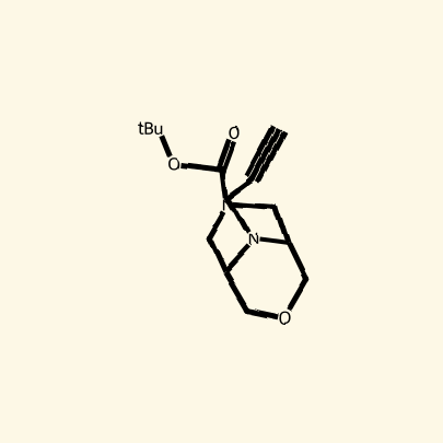 C#CCN1C2COCC1CN(C(=O)OC(C)(C)C)C2